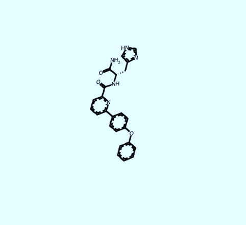 NC(=O)[C@H](Cc1c[nH]cn1)NC(=O)c1cccc(-c2ccc(Oc3ccccc3)cc2)n1